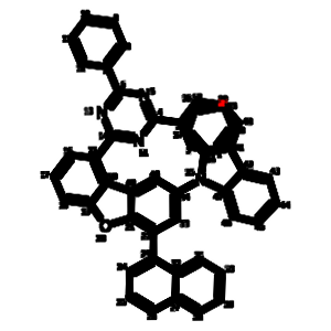 c1ccc(-c2nc(-c3ccccc3)nc(-c3cccc4oc5c(-c6cccc7ccccc67)cc(-n6c7ccccc7c7ccccc76)cc5c34)n2)cc1